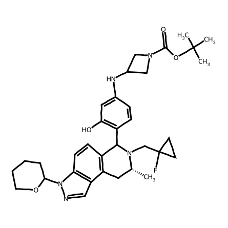 C[C@@H]1Cc2c(ccc3c2cnn3C2CCCCO2)C(c2ccc(NC3CN(C(=O)OC(C)(C)C)C3)cc2O)N1CC1(F)CC1